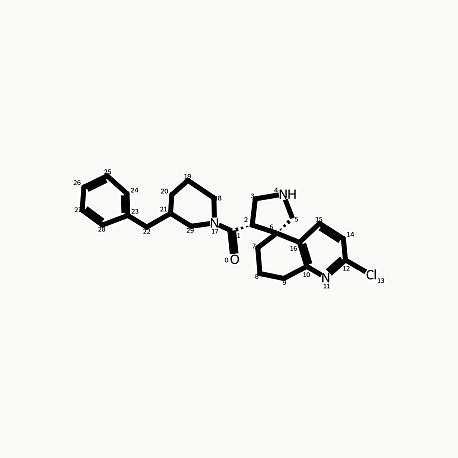 O=C([C@@H]1CNC[C@]12CCCc1nc(Cl)ccc12)N1CCCC(Cc2ccccc2)C1